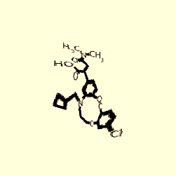 CN(C)C(=O)CC(C(=O)O)c1ccc2c(c1)N(CC1CCC1)CCCCc1cc(Cl)ccc1CO2